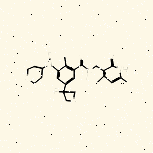 CCN(c1cc(C2(F)COC2)cc(C(=O)NCc2c(C)cc(C)[nH]c2=O)c1C)C1CCOCC1